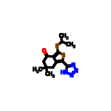 CC(C)Sc1sc(-c2nnn[nH]2)c2c1C(=O)CC(C)(C)C2